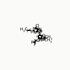 CCCSc1nc(Cl)c2nnn([C@@H]3C[C@H](OCC(F)F)[C@H]4OC(C)(C)OC34)c2n1